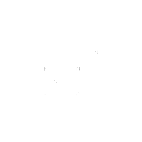 CCN(CC)C(=O)n1[c]ncc1